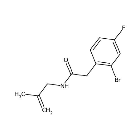 C=C(C)CNC(=O)Cc1ccc(F)cc1Br